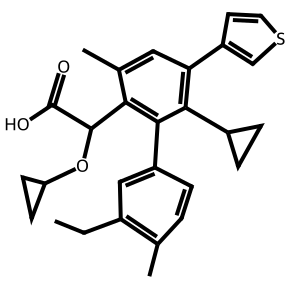 CCc1cc(-c2c(C3CC3)c(-c3ccsc3)cc(C)c2C(OC2CC2)C(=O)O)ccc1C